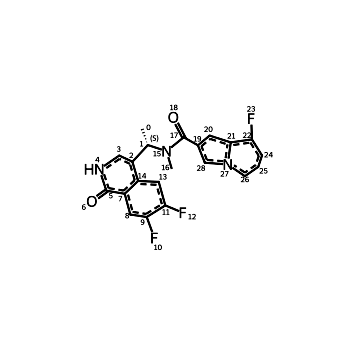 C[C@@H](c1c[nH]c(=O)c2cc(F)c(F)cc12)N(C)C(=O)c1cc2c(F)cccn2c1